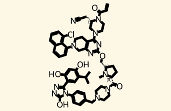 C=CC(=O)N1CCN(c2nc(OC[C@@H]3CC[C@H](C(=O)N4CCN(Cc5ccc(-n6c(O)nnc6-c6cc(C(C)C)c(O)cc6O)cc5)CC4)N3C)nc3c2CCN(c2cccc4cccc(Cl)c24)C3)C[C@@H]1CC#N